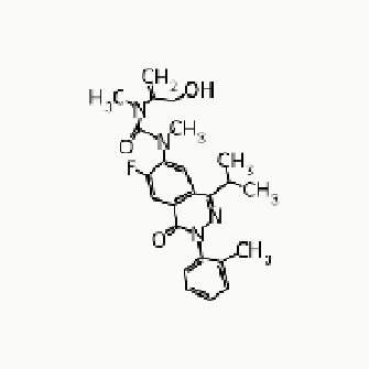 C=C(CO)N(C)C(=O)N(C)c1cc2c(C(C)C)nn(-c3ccccc3C)c(=O)c2cc1F